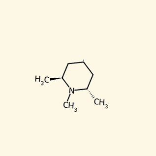 C[C@H]1C[CH]C[C@H](C)N1C